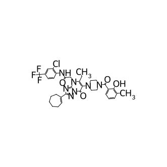 CCc1c(N2CCN(C(=O)c3cccc(C)c3O)CC2)c(=O)n2nc(C3=CCCCCC3)nc2n1CC(=O)Nc1ccc(C(F)(F)F)cc1Cl